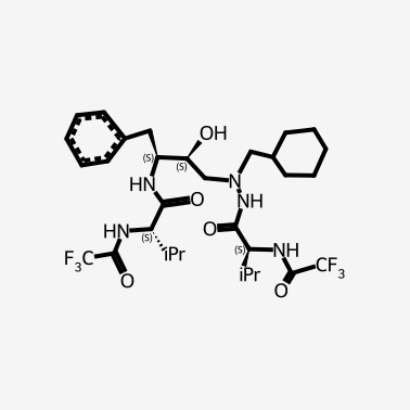 CC(C)[C@H](NC(=O)C(F)(F)F)C(=O)N[C@@H](Cc1ccccc1)[C@@H](O)CN(CC1CCCCC1)NC(=O)[C@@H](NC(=O)C(F)(F)F)C(C)C